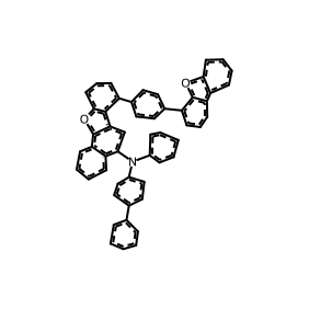 c1ccc(-c2ccc(N(c3ccccc3)c3cc4c(oc5cccc(-c6ccc(-c7cccc8c7oc7ccccc78)cc6)c54)c4ccccc34)cc2)cc1